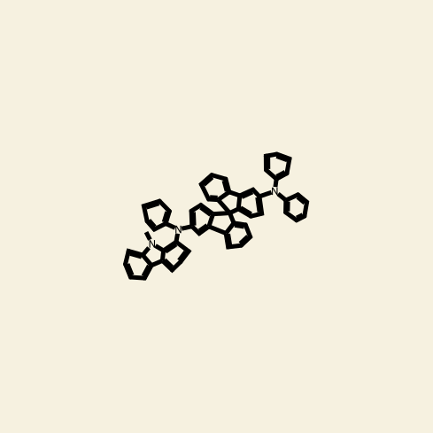 Cn1c2ccccc2c2cccc(N(c3ccccc3)c3ccc4c(c3)-c3ccccc3C43c4ccccc4-c4cc(N(c5ccccc5)c5ccccc5)ccc43)c21